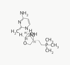 C=C1N=C(N)C=CN1[C@@H]1O[C@@]2(CCP(=C)(C)C)CO[C@@H]1[C@@H]2O